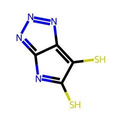 SC1=NC2=NN=NC2=C1S